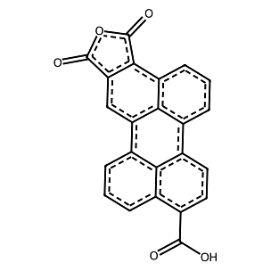 O=C(O)c1ccc2c3cccc4c5c(=O)oc(=O)c5cc(c5cccc1c25)c34